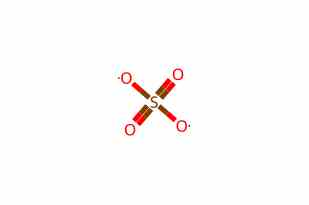 [O]S([O])(=O)=O